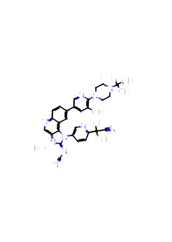 Cc1cc(-c2ccc3ncc4c(c3c2)n(-c2ccc(C(C)(C)C#N)nc2)c(=NC#N)n4C)cnc1N1CCN(C(C)(C)C)CC1